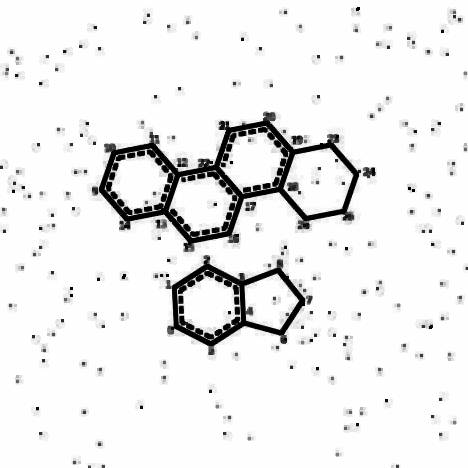 c1ccc2c(c1)CCC2.c1ccc2c(c1)ccc1c3c(ccc12)CCCC3